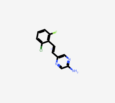 Nc1cnc(/C=C/c2c(F)cccc2Cl)cn1